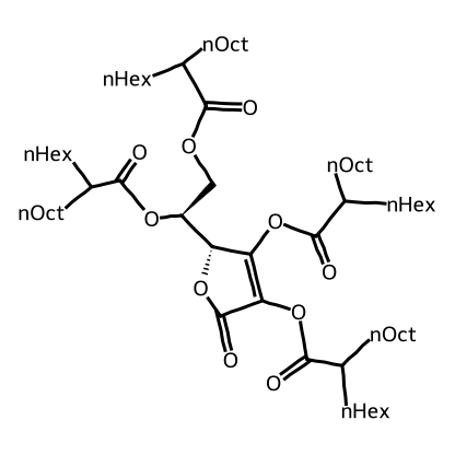 CCCCCCCCC(CCCCCC)C(=O)OC[C@H](OC(=O)C(CCCCCC)CCCCCCCC)[C@H]1OC(=O)C(OC(=O)C(CCCCCC)CCCCCCCC)=C1OC(=O)C(CCCCCC)CCCCCCCC